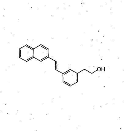 OCCc1cccc(C=Cc2ccc3ccccc3c2)c1